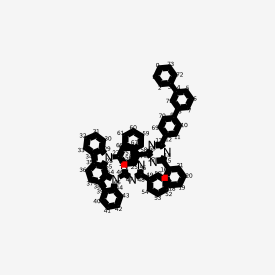 c1ccc(-c2cccc(-c3ccc(-c4nc(-c5ccccc5)nc(-c5ccc(-n6c7ccccc7c7ccc8c9ccccc9n(-c9nc(-c%10ccccc%10)nc(-c%10ccccc%10)n9)c8c76)cc5)n4)cc3)c2)cc1